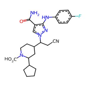 N#CCC(C1CCN(C(=O)O)C(C2CCCC2)C1)n1cc(C(N)=O)c(Nc2ccc(F)cc2)n1